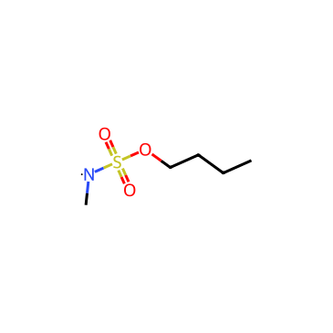 CCCCOS(=O)(=O)[N]C